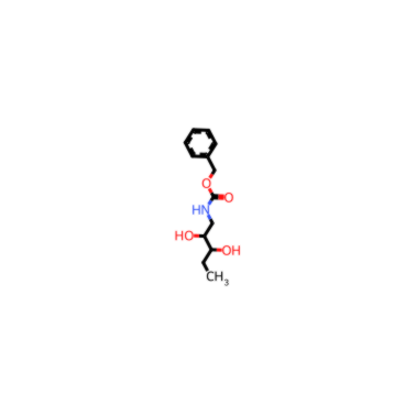 CCC(O)C(O)CNC(=O)OCc1ccccc1